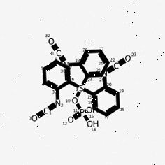 O=C=Nc1ccccc1S(OP(=O)(O)O)(c1ccccc1N=C=O)c1ccccc1N=C=O